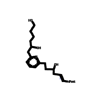 CCCCC/C=C/CC(O)CCc1cccc(CC(O)CCCCO)n1